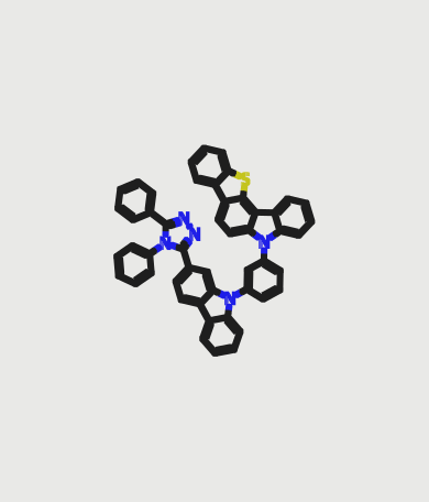 c1ccc(-c2nnc(-c3ccc4c5ccccc5n(-c5cccc(-n6c7ccccc7c7c8sc9ccccc9c8ccc76)c5)c4c3)n2-c2ccccc2)cc1